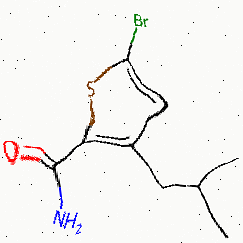 CC(C)Cc1cc(Br)sc1C(N)=O